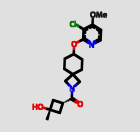 COc1ccnc(OC2CCC3(CC2)CN(C(=O)[C@H]2C[C@@](C)(O)C2)C3)c1Cl